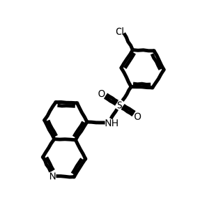 O=S(=O)(Nc1cccc2cnccc12)c1cccc(Cl)c1